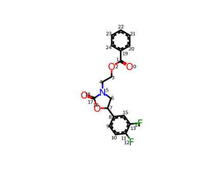 O=C(OCCN1CC(c2ccc(F)c(F)c2)OC1=O)c1ccccc1